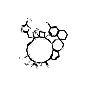 CO[C@@]1(Cc2nnc(C)o2)/C=C/C[C@H](C)[C@@H](C)S(=O)(=O)NC(=O)c2ccc3c(c2)N(C[C@@H]2CC[C@H]21)C[C@@]1(CCCc2cc(Cl)ccc21)CO3